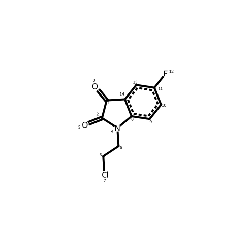 O=C1C(=O)N(CCCl)c2ccc(F)cc21